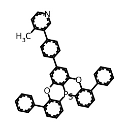 Cc1ccncc1-c1ccc(-c2cc3c4c(c2)Oc2c(-c5ccccc5)cccc2P4(=S)c2cccc(-c4ccccc4)c2O3)cc1